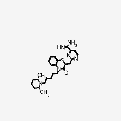 C[C@@H]1CCC[C@H](C)N1CCCCCN1C(=O)C(Cc2nccc(C(=N)N)n2)Sc2ccccc21